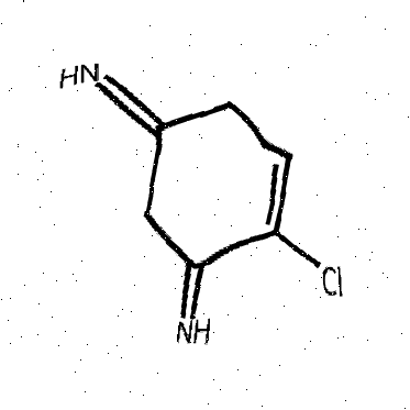 N=C1CC=C(Cl)C(=N)C1